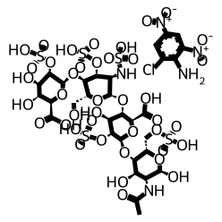 CC(=O)N[C@@H]1[C@@H](O)[C@H](O[C@@H]2O[C@H](C(=O)O)[C@@H](O[C@@H]3O[C@H](CO)[C@@H](O[C@H]4O[C@@H](C(=O)O)[C@H](O)[C@@H](O)[C@@H]4OS(=O)(=O)O)[C@H](OS(=O)(=O)O)[C@H]3NS(=O)(=O)O)[C@H](O)[C@H]2OS(=O)(=O)O)[C@H](COS(=O)(=O)O)O[C@H]1O.Nc1c(Cl)cc([N+](=O)[O-])cc1[N+](=O)[O-]